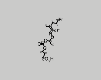 CC(C)CCN(C)[N+]([O-])=NOC(C)OC(=O)OCCC(=O)O